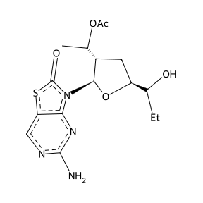 CCC(O)[C@@H]1C[C@@H](C(C)OC(C)=O)[C@H](n2c(=O)sc3cnc(N)nc32)O1